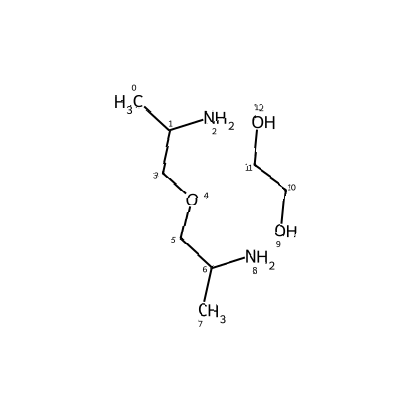 CC(N)COCC(C)N.OCCO